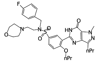 CCCOc1ccc(S(=O)(=O)N(CCN2CCOCC2)Cc2ccc(F)cc2)cc1-c1nc2c(CCC)nn(C)c2c(=O)[nH]1